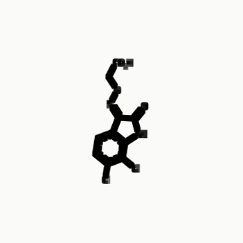 O=C(O)CON=C1C(=O)Nc2c1ccc(Cl)c2Cl